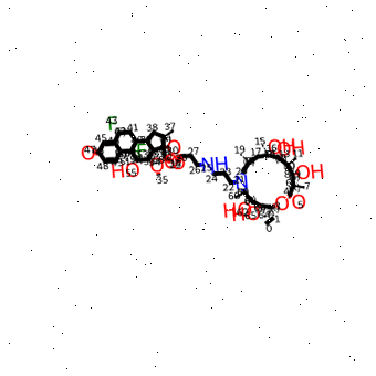 CC[C@H]1OC(=O)[C@H](C)[C@@H](O)[C@H](C)[C@@H](O)[C@](C)(O)C[C@@H](C)CN(CCCNCCC(=O)O[C@]2(C(=O)OC)[C@H](C)CC3C4C[C@H](F)C5=CC(=O)C=C[C@]5(C)[C@@]4(F)[C@@H](O)C[C@@]32C)[C@H](C)[C@@H](O)[C@]1(C)O